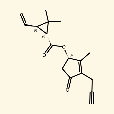 C#CCC1=C(C)[C@@H](OC(=O)[C@@H]2[C@@H](C=C)C2(C)C)CC1=O